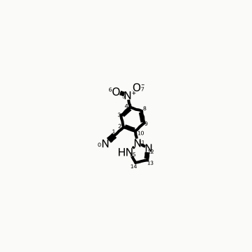 N#Cc1cc([N+](=O)[O-])ccc1N1N=CCN1